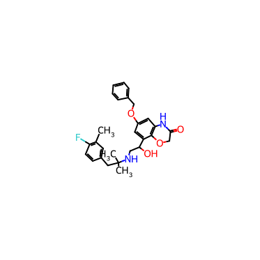 Cc1cc(CC(C)(C)NCC(O)c2cc(OCc3ccccc3)cc3c2OCC(=O)N3)ccc1F